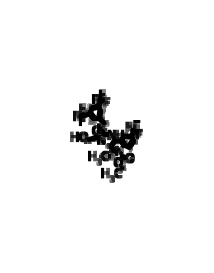 CCOC(=O)N1c2ccc(C(F)(F)F)cc2[C@@H](NC2=NC(CO)ON2Cc2cc(C(F)(F)F)cc(C(F)(F)F)c2)C[C@H]1CC